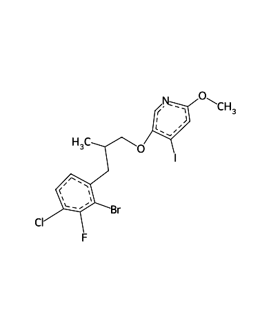 COc1cc(I)c(OCC(C)Cc2ccc(Cl)c(F)c2Br)cn1